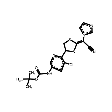 CC(C)(C)OC(=O)Nc1cnc(C2CS/C(=C(/C#N)n3ccnc3)S2)c(Cl)c1